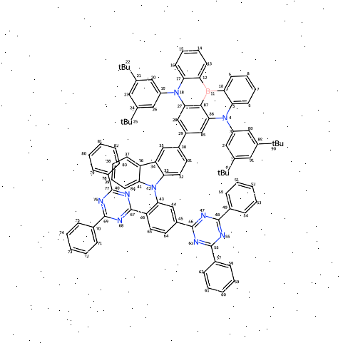 CC(C)(C)c1cc(N2c3ccccc3B3c4ccccc4N(c4cc(C(C)(C)C)cc(C(C)(C)C)c4)c4cc(-c5ccc6c(c5)c5ccccc5n6-c5cc(-c6nc(-c7ccccc7)nc(-c7ccccc7)n6)ccc5-c5nc(-c6ccccc6)nc(-c6ccccc6)n5)cc2c43)cc(C(C)(C)C)c1